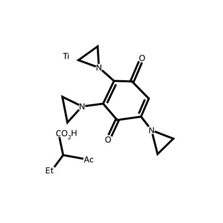 CCC(C(C)=O)C(=O)O.O=C1C=C(N2CC2)C(=O)C(N2CC2)=C1N1CC1.[Ti]